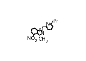 Cc1nn(Cc2cccc(C(C)C)n2)c2cccc([N+](=O)[O-])c12